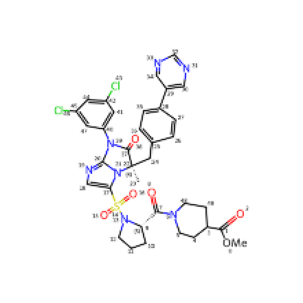 COC(=O)C1CCN(C(=O)[C@@H]2CCCN2S(=O)(=O)c2cnc3n2[C@](C)(Cc2ccc(-c4cncnc4)cc2)C(=O)N3c2cc(Cl)cc(Cl)c2)CC1